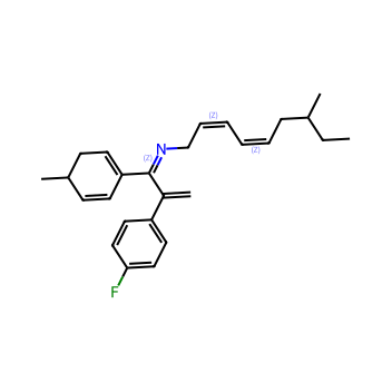 C=C(/C(=N\C/C=C\C=C/CC(C)CC)C1=CCC(C)C=C1)c1ccc(F)cc1